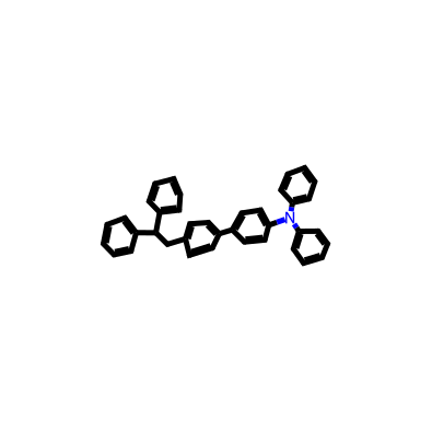 c1ccc(C(Cc2ccc(-c3ccc(N(c4ccccc4)c4ccccc4)cc3)cc2)c2ccccc2)cc1